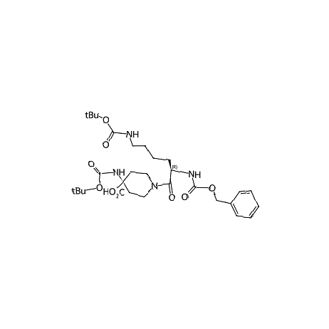 CC(C)(C)OC(=O)NCCCC[C@@H](NC(=O)OCc1ccccc1)C(=O)N1CCC(NC(=O)OC(C)(C)C)(C(=O)O)CC1